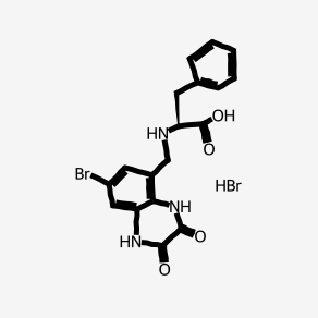 Br.O=C(O)[C@H](Cc1ccccc1)NCc1cc(Br)cc2[nH]c(=O)c(=O)[nH]c12